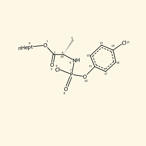 CCCCCCCOC(=O)[C@H](C)NP(=O)(Cl)Oc1ccc(Cl)cc1